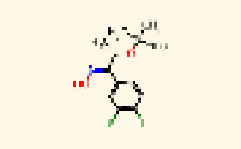 C[C@H](O[Si](C)(C)C(C)(C)C)/C(=N/O)c1ccc(F)c(F)c1